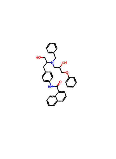 O=C(Nc1ccc(CC(CO)N(Cc2ccccc2)CC(O)COc2ccccc2)cc1)c1cccc2ccccc12